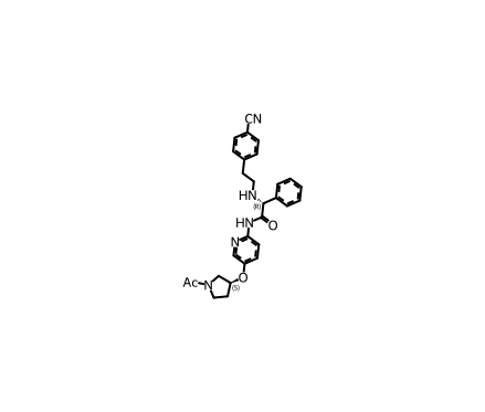 CC(=O)N1CC[C@H](Oc2ccc(NC(=O)[C@H](NCCc3ccc(C#N)cc3)c3ccccc3)nc2)C1